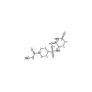 CC(C)(C)OC(=O)N1CCC(S(=O)(=O)NC2CCC(=O)NC2=O)CC1